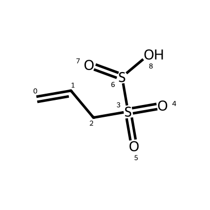 C=CCS(=O)(=O)S(=O)O